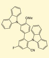 COc1ccc(-c2cc(F)cc(C#N)c2-n2c3ccccc3c3ccccc32)cc1-n1c2ccccc2c2ccccc21